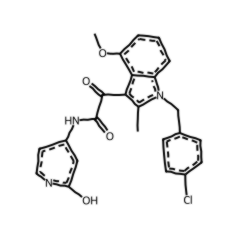 COc1cccc2c1c(C(=O)C(=O)Nc1ccnc(O)c1)c(C)n2Cc1ccc(Cl)cc1